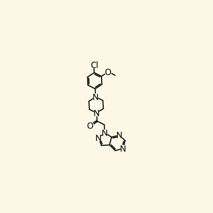 COc1cc(N2CCN(C(=O)Cn3ncc4cncnc43)CC2)ccc1Cl